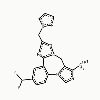 Cc1ncn2c1Cn1nc(Cn3cccn3)nc1-c1cc(C(F)F)ccc1-2.Cl